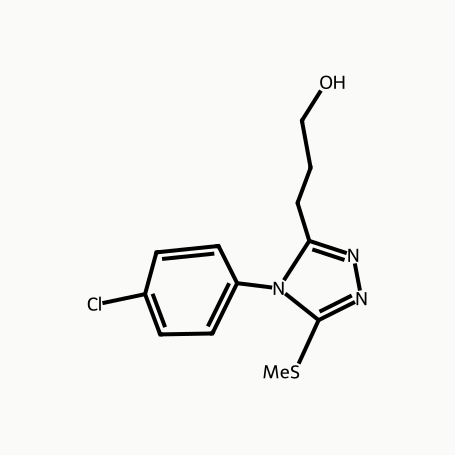 CSc1nnc(CCCO)n1-c1ccc(Cl)cc1